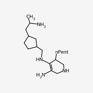 CCCCCC1CNCC(N)=C1NCC1CCC(CC(C)N)C1